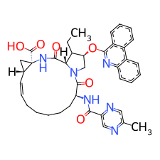 CCC1[C@@H](Oc2nc3ccccc3c3ccccc23)CN2C(=O)[C@@H](NC(=O)c3cnc(C)cn3)CCCCCC=C[C@@H]3C[C@@]3(C(=O)O)NC(=O)[C@H]12